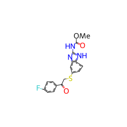 COC(=O)Nc1nc2cc(SCC(=O)c3ccc(F)cc3)ccc2[nH]1